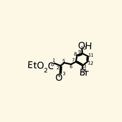 CCOC(=O)CC(=C=O)CCc1cc(O)ccc1Br